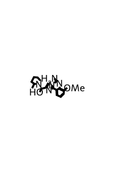 COc1cccc2c1nc(N)n1cc(C(O)N3CCCCC3C)nc21